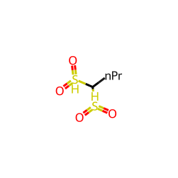 CCCC([SH](=O)=O)[SH](=O)=O